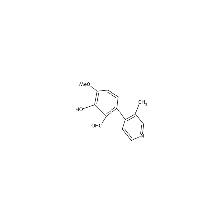 COc1ccc(-c2ccncc2C)c(C=O)c1O